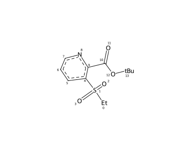 CCS(=O)(=O)c1cccnc1C(=O)OC(C)(C)C